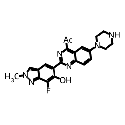 CC(=O)c1nc(-c2cc3cn(C)nc3c(F)c2O)nc2ccc(N3CCNCC3)cc12